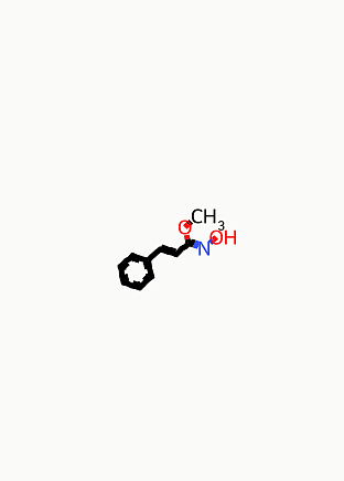 COC(/C=C/c1ccccc1)=NO